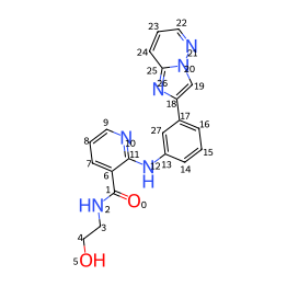 O=C(NCCO)c1cccnc1Nc1cccc(-c2cn3ncccc3n2)c1